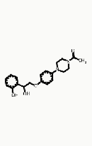 CC(=O)N1CCN(c2ccc(OCC(O)c3ccccc3O)cc2)CC1